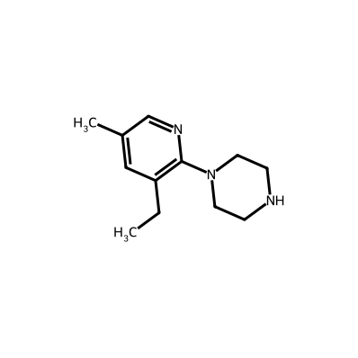 CCc1cc(C)cnc1N1CCNCC1